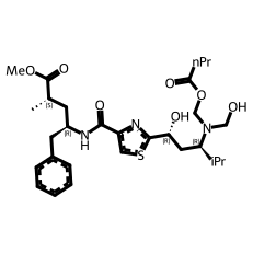 CCCC(=O)OCN(CO)[C@H](C[C@@H](O)c1nc(C(=O)N[C@@H](Cc2ccccc2)C[C@H](C)C(=O)OC)cs1)C(C)C